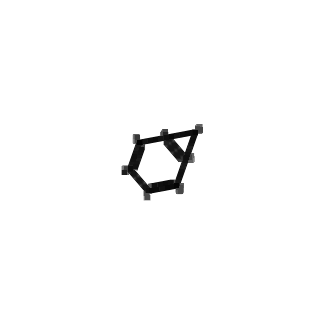 [c]1cccc2c1C2